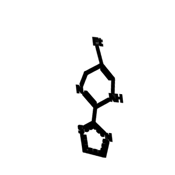 [CH2]CC1=CNC(c2nccs2)=NC1